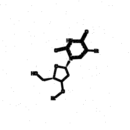 CCOC1C[C@@H](n2cc(CC)c(=O)[nH]c2=O)O[C@H]1CO